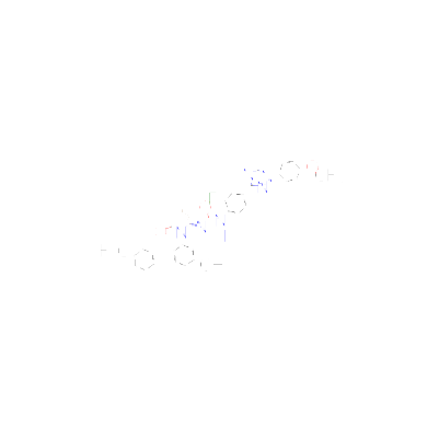 Cc1ccc(Cc2cccc(C(F)(F)F)c2)c(N2C(=O)CS/C2=N\C(=O)Nc2ccc(-c3ncn(-c4ccc(OC(F)(F)F)cc4)n3)cc2F)c1